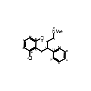 CNCCC(Cc1c(Cl)cccc1Cl)c1ccccc1